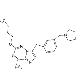 Nc1nc(OCCCC(F)(F)F)nn2c(Cc3cccc(CN4CCCC4)c3)cnc12